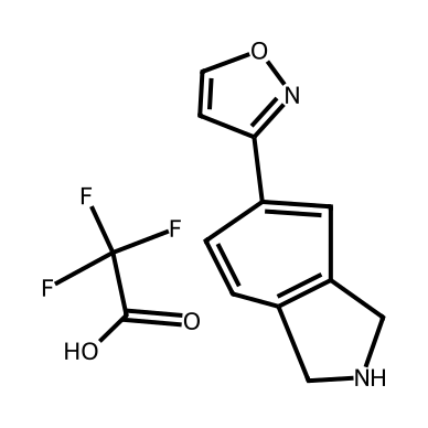 O=C(O)C(F)(F)F.c1cc(-c2ccc3c(c2)CNC3)no1